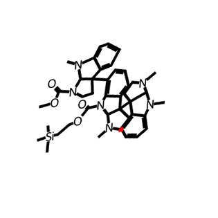 COC(=O)N1CCC2(c3cccc4c3N(C(=O)OCC[Si](C)(C)C)C3N(C)CCC43C34CCN(C)C3N(C)c3ccccc34)c3ccccc3N(C)C12